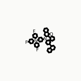 Fc1ccc([Si](c2ccc(F)cc2)(c2ccc(F)cc2)c2ccc(N(c3ccc(-c4cccc5ccccc45)cc3)c3cc4ccccc4c4oc5ccccc5c34)cc2)cc1